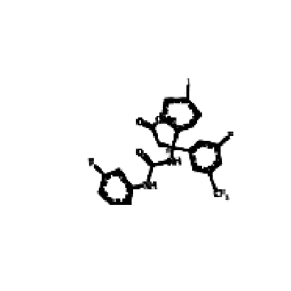 COC(=O)C[C@](NC(=O)Nc1cccc(F)c1)(c1cc(F)cc(C(F)(F)F)c1)c1ccc(I)cn1